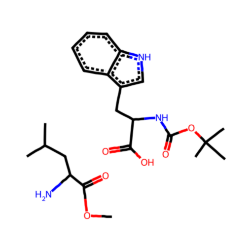 CC(C)(C)OC(=O)NC(Cc1c[nH]c2ccccc12)C(=O)O.COC(=O)C(N)CC(C)C